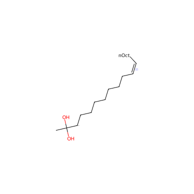 CCCCCCCC/C=C\CCCCCCC[CH]C(C)(O)O